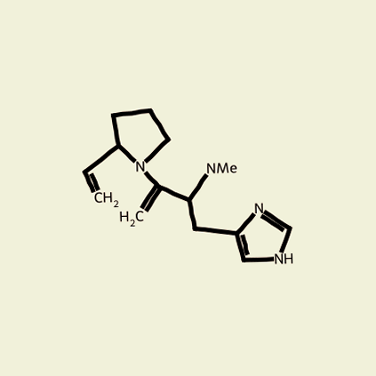 C=CC1CCCN1C(=C)C(Cc1c[nH]cn1)NC